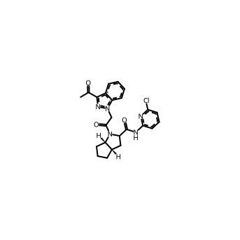 CC(=O)c1nn(CC(=O)N2C(C(=O)Nc3cccc(Cl)n3)C[C@@H]3CCC[C@@H]32)c2ccccc12